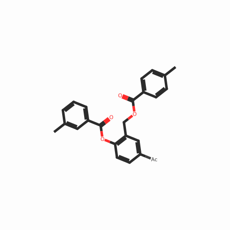 CC(=O)c1ccc(OC(=O)c2cccc(C)c2)c(COC(=O)c2ccc(C)cc2)c1